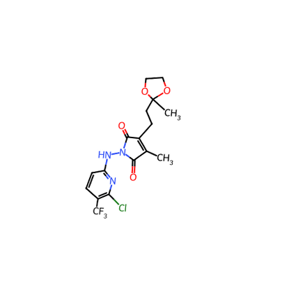 CC1=C(CCC2(C)OCCO2)C(=O)N(Nc2ccc(C(F)(F)F)c(Cl)n2)C1=O